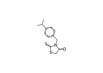 CC(C)c1ccc(CN2C(=O)CSC2=S)cc1